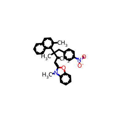 C=C(/C=C1\Oc2ccccc2N1C)C(C)(Cc1ccc([N+](=O)[O-])cc1)c1c(C)ccc2ccccc12